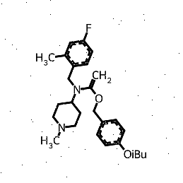 C=C(OCc1ccc(OCC(C)C)cc1)N(Cc1ccc(F)cc1C)C1CCN(C)CC1